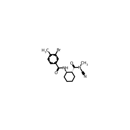 Cc1ccc(C(=O)N[C@@H]2CCCC[C@H]2C(=O)N(C)C#N)cc1Br